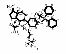 C=C1CC[C@@H]2[C@H](OC(C)=O)[C@H]([C@@]3(C)CC[C@H](O[Si](c4ccccc4)(c4ccccc4)C(C)(C)C)C[C@@H]3CCOS(C)(=O)=O)CC[C@]12C